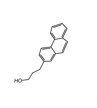 OCCCc1ccc2c(ccc3ccccc32)c1